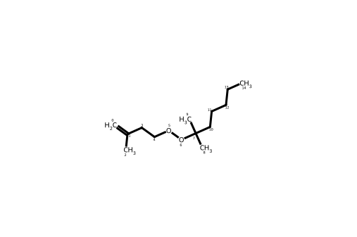 C=C(C)CCOOC(C)(C)CCCCC